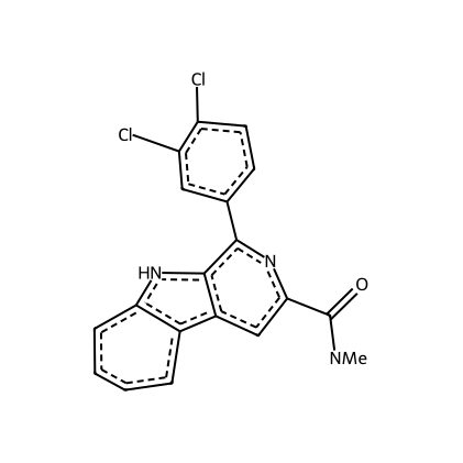 CNC(=O)c1cc2c([nH]c3ccccc32)c(-c2ccc(Cl)c(Cl)c2)n1